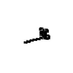 CCCCCCCCCCCCn1c2ccccc2n2c(=O)c3ccccc3nc12